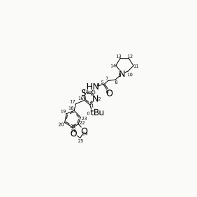 CC(C)(C)c1nc(NC(=O)CCN2CCCCC2)sc1Cc1ccc2c(c1)OCO2